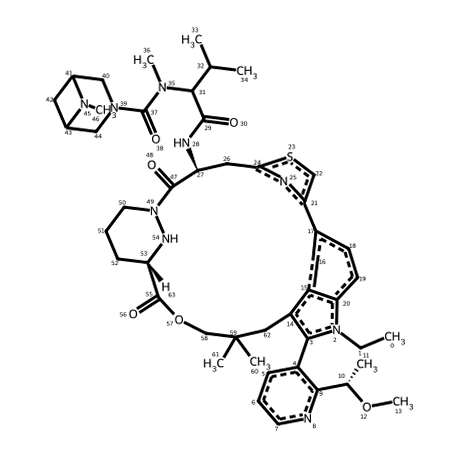 CCn1c(-c2cccnc2[C@H](C)OC)c2c3cc(ccc31)-c1csc(n1)C[C@H](NC(=O)C(C(C)C)N(C)C(=O)N1CC3CC(C1)N3C)C(=O)N1CCC[C@H](N1)C(=O)OCC(C)(C)C2